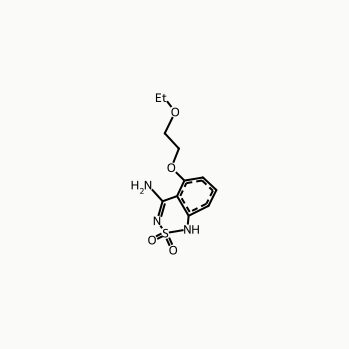 CCOCCOc1cccc2c1C(N)=NS(=O)(=O)N2